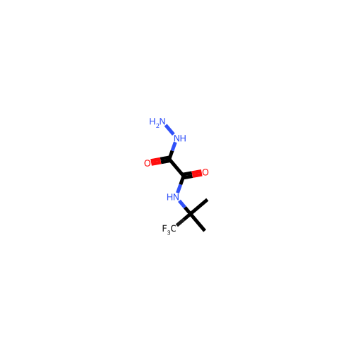 CC(C)(NC(=O)C(=O)NN)C(F)(F)F